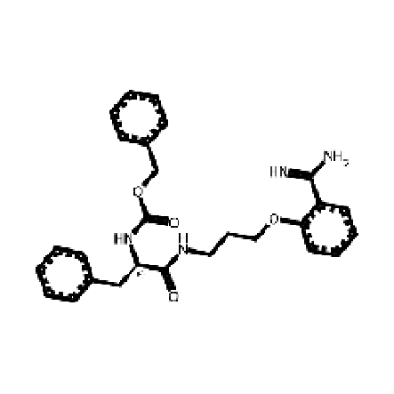 N=C(N)c1ccccc1OCCCNC(=O)[C@@H](Cc1ccccc1)NC(=O)OCc1ccccc1